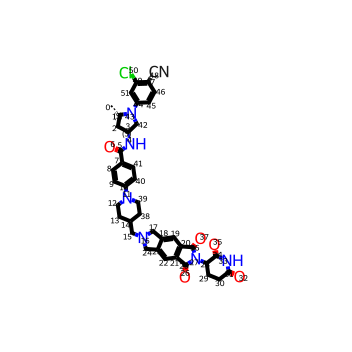 C[C@H]1C[C@H](NC(=O)c2ccc(N3CCC(CN4Cc5cc6c(cc5C4)C(=O)N(C4CCC(=O)NC4=O)C6=O)CC3)cc2)CN1c1ccc(C#N)c(Cl)c1